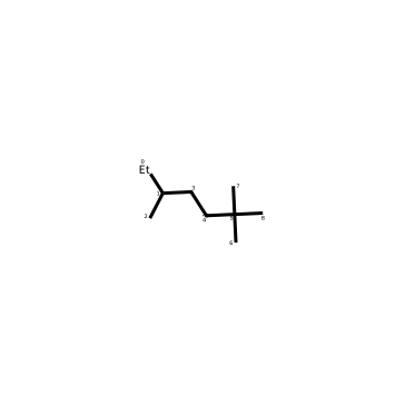 CCC(C)C[CH]C(C)(C)C